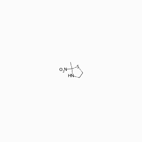 CC1([N+](=O)[O-])NCCS1